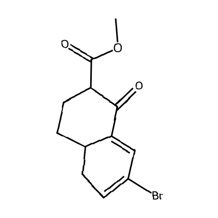 COC(=O)C1CCC2CC=C(Br)C=C2C1=O